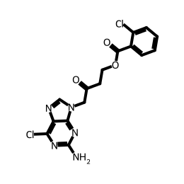 Nc1nc(Cl)c2ncn(CC(=O)CCOC(=O)c3ccccc3Cl)c2n1